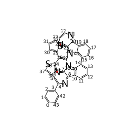 c1ccc(-c2cnc3c(n2)c2cccc4c5cccc6c7nccnc7n(c(=C(c7cccs7)c7cccs7)n3c42)c56)cc1